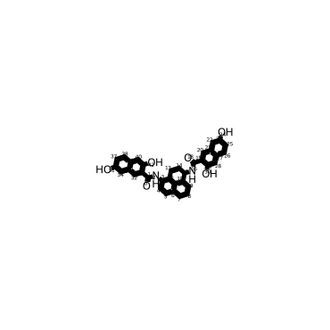 O=C(Nc1ccc2cccc3c2c1C=CC3NC(=O)c1cc2cc(O)ccc2cc1O)c1cc2cc(O)ccc2cc1O